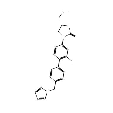 CC(=O)NC[C@H]1CN(c2ccc(-c3ccc(Cn4cccc4)cc3)c(F)c2)C(=O)O1